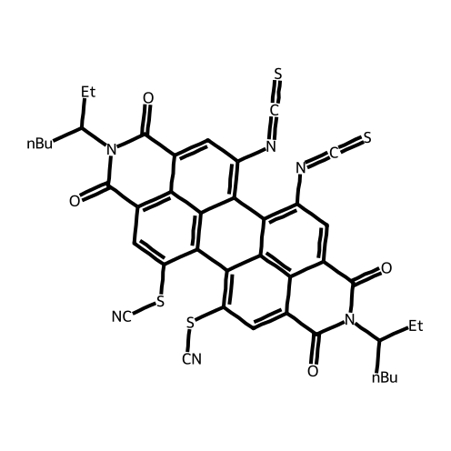 CCCCC(CC)N1C(=O)c2cc(N=C=S)c3c4c(N=C=S)cc5c6c(cc(SC#N)c(c7c(SC#N)cc(c2c37)C1=O)c64)C(=O)N(C(CC)CCCC)C5=O